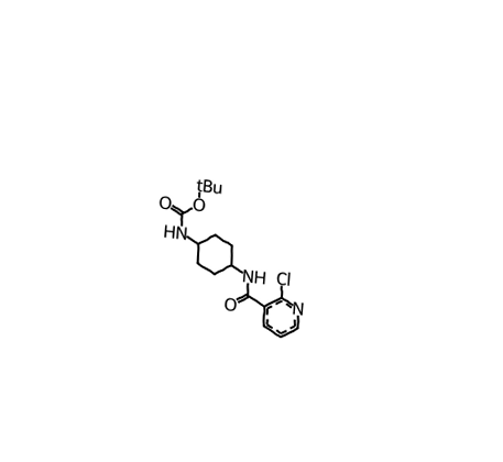 CC(C)(C)OC(=O)NC1CCC(NC(=O)c2cccnc2Cl)CC1